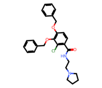 O=C(NCCN1CCCC1)c1ccc(OCc2ccccc2)c(OCc2ccccc2)c1Cl